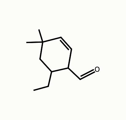 CCC1CC(C)(C)C=CC1C=O